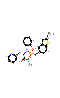 CCCOC(=O)[C@H](Cc1ccccn1)NP(=O)(Cc1ccc2sc(C(=O)O)cc2c1)Oc1ccccc1